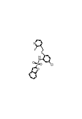 O=S(=O)(Nc1cc(Cl)ccc1SCc1cccnc1F)c1cc2ccccc2o1